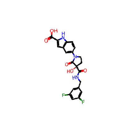 O=C(O)c1cc2cc(N3CC[C@](O)(C(=O)NCc4cc(F)cc(F)c4)C3=O)ccc2[nH]1